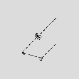 CCCCCCCCCCCCCCCCCCCCCCCCC(C(=O)OC)[C@@H](CCCCCCCC/C=C/CCCCCCCC[C@H]1C[C@@H]1[C@@H](C)CCCCCCCCCCCCCCC[C@H](OC)[C@@H](C)CCCCCCCCCCCCCCCCCC)O[Si](C)(C)C(C)(C)C